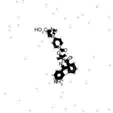 CC(C)(OC(=O)N1CCC(n2cc(C(=O)O)nn2)CC1)n1nc(-c2ccc(N)cc2)c2ccccc2c1=O